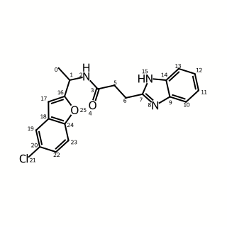 CC(NC(=O)CCc1nc2ccccc2[nH]1)c1cc2cc(Cl)ccc2o1